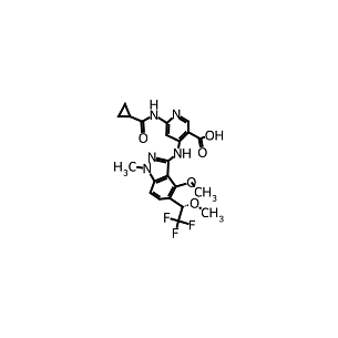 COc1c([C@H](OC)C(F)(F)F)ccc2c1c(Nc1cc(NC(=O)C3CC3)ncc1C(=O)O)nn2C